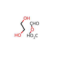 O=COC(=O)O.OCCO